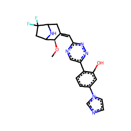 CO[C@@H]1/C(=C\c2ncc(-c3ccc(-n4ccnc4)cc3O)nn2)CC2NC1CC2(F)F